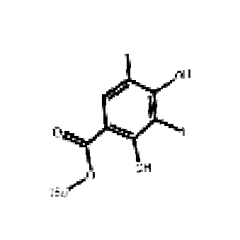 CC(C)(C)OC(=O)c1cc(I)c(O)c(I)c1O